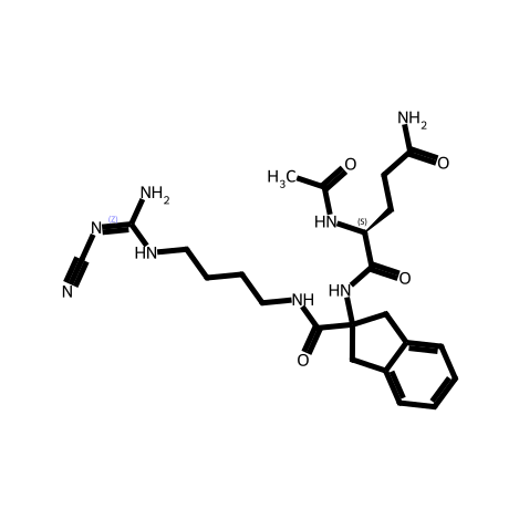 CC(=O)N[C@@H](CCC(N)=O)C(=O)NC1(C(=O)NCCCCN/C(N)=N\C#N)Cc2ccccc2C1